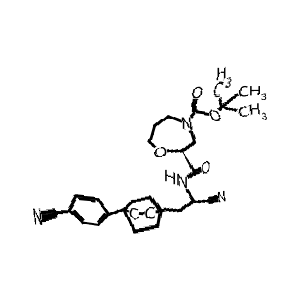 CC(C)(C)OC(=O)N1CCCO[C@H](C(=O)NC(C#N)CC23CCC(c4ccc(C#N)cc4)(CC2)CC3)C1